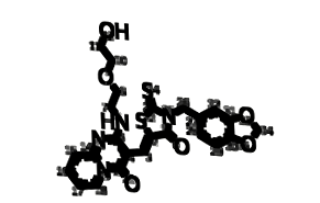 O=C1/C(=C/c2c(NCCOCCO)nc3ccccn3c2=O)SC(=S)N1Cc1ccc2c(c1)OCO2